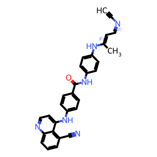 C#C/N=C\C=C(/C)Nc1ccc(NC(=O)c2ccc(Nc3ccnc4cccc(C#N)c34)cc2)cc1